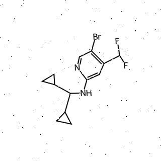 FC(F)c1cc(NC(C2CC2)C2CC2)ncc1Br